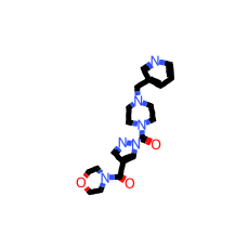 O=C(c1cnn(C(=O)N2CCN(Cc3cccnc3)CC2)c1)N1CCOCC1